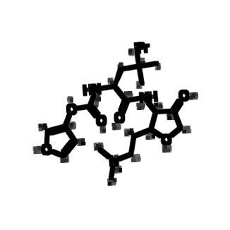 CC(C)C(C)(C)C[C@H](NC(=O)Oc1ccoc1)C(=O)NC1C(=O)COC1CCN(C)C